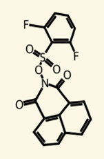 O=C1c2cccc3cccc(c23)C(=O)N1OS(=O)(=O)c1c(F)cccc1F